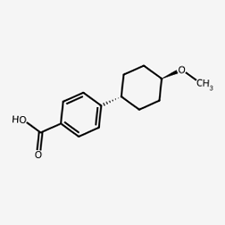 CO[C@H]1CC[C@H](c2ccc(C(=O)O)cc2)CC1